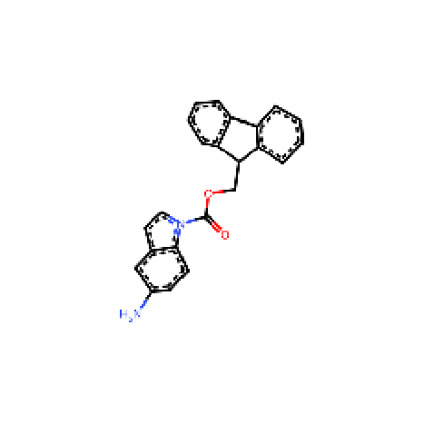 Nc1ccc2c(ccn2C(=O)OCC2c3ccccc3-c3ccccc32)c1